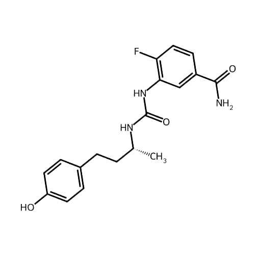 C[C@H](CCc1ccc(O)cc1)NC(=O)Nc1cc(C(N)=O)ccc1F